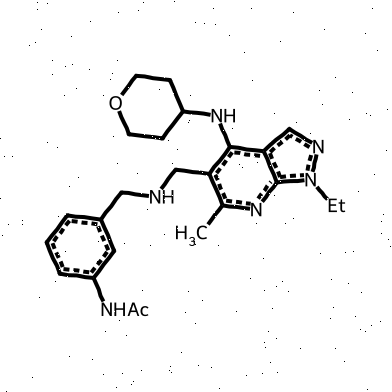 CCn1ncc2c(NC3CCOCC3)c(CNCc3cccc(NC(C)=O)c3)c(C)nc21